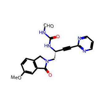 COc1ccc2c(c1)C(=O)N(C[C@@H](C#Cc1ncccn1)NC(=O)NC=O)C2